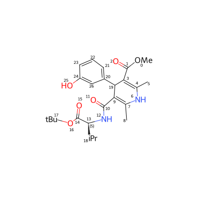 COC(=O)C1=C(C)NC(C)=C(C(=O)N[C@H](C(=O)OC(C)(C)C)C(C)C)C1c1cccc(O)c1